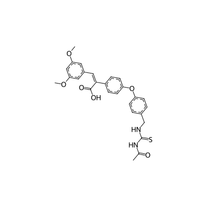 COc1cc(/C=C(\C(=O)O)c2ccc(Oc3ccc(CNC(=S)NC(C)=O)cc3)cc2)cc(OC)c1